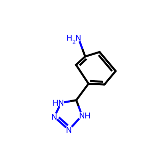 Nc1cccc(C2NN=NN2)c1